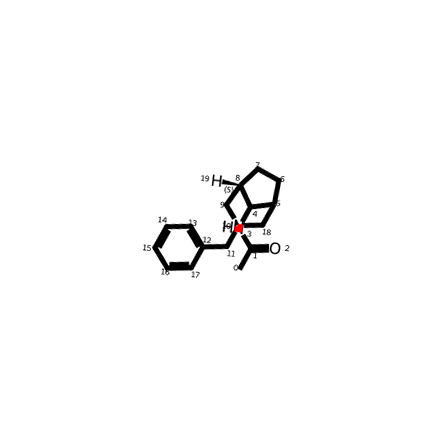 CC(=O)NC1C2CC[C@H]1CN(Cc1ccccc1)C2